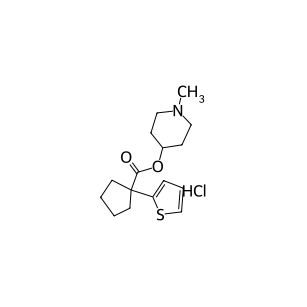 CN1CCC(OC(=O)C2(c3cccs3)CCCC2)CC1.Cl